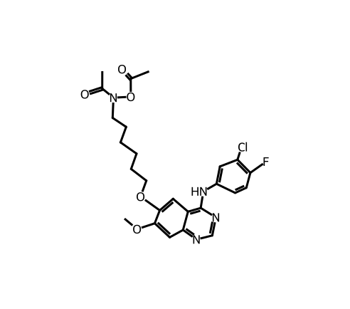 COc1cc2ncnc(Nc3ccc(F)c(Cl)c3)c2cc1OCCCCCCN(OC(C)=O)C(C)=O